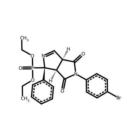 CCOP(=O)(OCC)[C@]1(c2ccccc2)N=C[C@H]2C(=O)N(c3ccc(Br)cc3)C(=O)[C@H]21